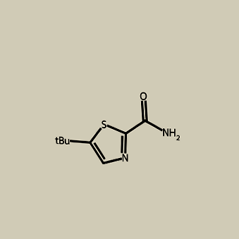 CC(C)(C)c1cnc(C(N)=O)s1